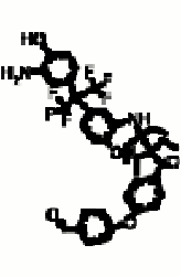 CCC(CC)(Nc1cc(C(c2ccc(O)c(N)c2)(C(F)(F)F)C(F)(F)F)ccc1O)C(CC)(CC)C(=O)c1ccc(Oc2ccc(C=O)cc2)cc1